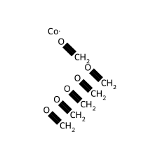 C=O.C=O.C=O.C=O.C=O.C=O.[Co]